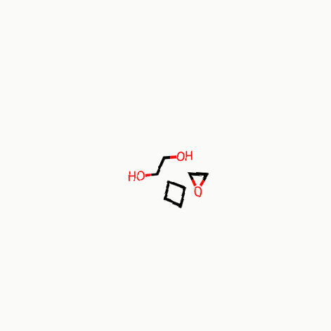 C1CCC1.C1CO1.OCCO